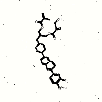 C=C(C)C(=O)OCC(COC(=O)C(=C)CO)CC1CCC(c2ccc3cc(-c4ccc(CCCCC)c(CC)c4)ccc3c2)CC1